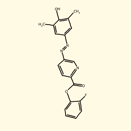 Cc1cc(/N=N/c2ccc(C(=O)Oc3ccccc3F)nc2)cc(C)c1O